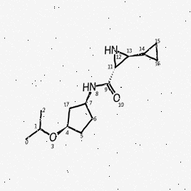 CC(C)O[C@@H]1CC[C@H](NC(=O)[C@@H]2N[C@H]2C2CC2)C1